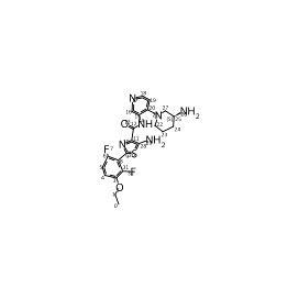 CCOc1ccc(F)c(-c2nc(C(=O)Nc3cnccc3N3CCC[C@H](N)C3)c(N)s2)c1F